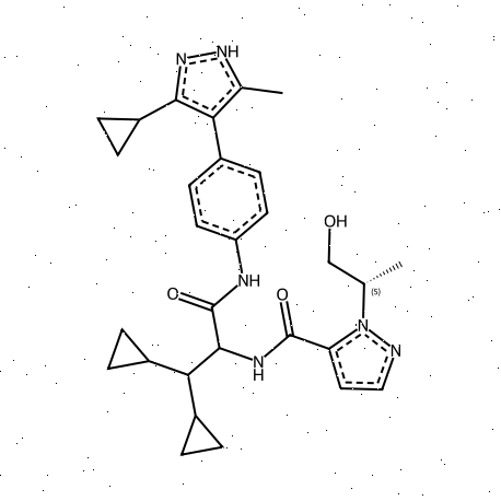 Cc1[nH]nc(C2CC2)c1-c1ccc(NC(=O)C(NC(=O)c2ccnn2[C@@H](C)CO)C(C2CC2)C2CC2)cc1